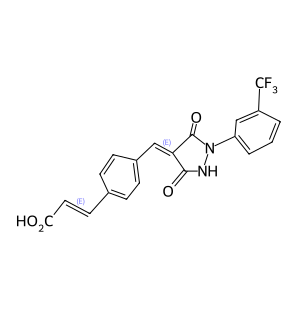 O=C(O)/C=C/c1ccc(/C=C2\C(=O)NN(c3cccc(C(F)(F)F)c3)C2=O)cc1